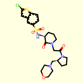 O=C1[C@@H](NS(=O)(=O)c2ccc3sc(Cl)cc3c2)CCCN1CC(=O)N1CCC[C@H]1CN1CCOCC1